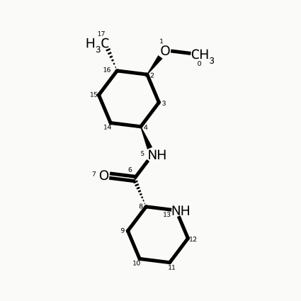 CO[C@H]1C[C@@H](NC(=O)[C@H]2CCCCN2)CC[C@@H]1C